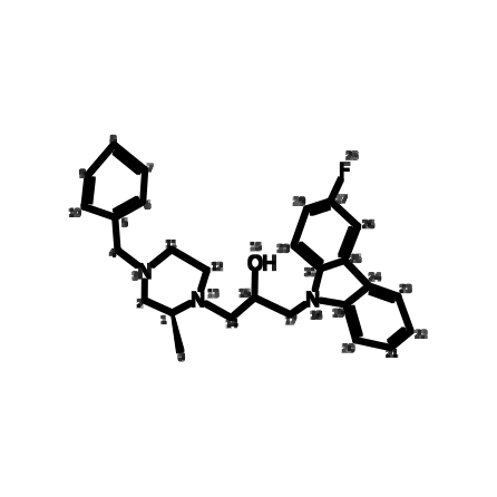 C[C@H]1CN(Cc2ccccc2)CCN1CC(O)Cn1c2ccccc2c2cc(F)ccc21